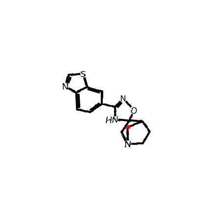 c1nc2ccc(C3=NOC4(CN5CCC4CC5)N3)cc2s1